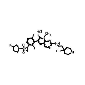 Cl.Cn1c(=O)c(-c2c(F)ccc(NS(=O)(=O)N3CC[C@@H](F)C3)c2F)cc2cnc(NCCC3(O)CCNCC3)nc21